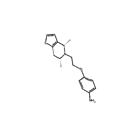 C[C@@H]1Cc2sccc2[C@H](C)N1CCOc1ccc(N)cc1